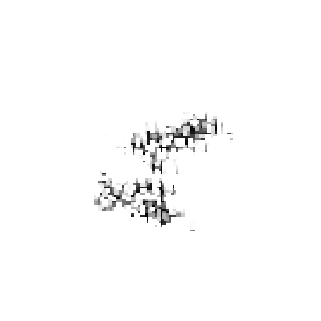 CN[C@@H]1[C@@H](O)C(OC2[C@@H](O)C3OC4O[C@@H](CC[C@H]4NCCNC(=O)CCN(C)[C@@H]4[C@@H](O)C(OC5[C@@H](O)C(OC6O[C@H](CN)CC[C@H]6N)[C@@H](N)C[C@H]5N)OCC4(C)C)C(C)NN[C@H]3C[C@H]2N)OC[C@]1(C)O